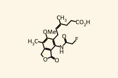 COc1c(C)c2c(c(NC(=O)CF)c1CC=C(C)CCC(=O)O)C(=O)OC2